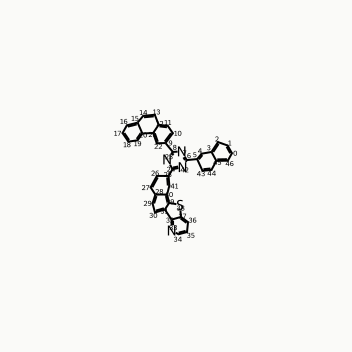 c1ccc2cc(-c3nc(-c4ccc5ccc6ccccc6c5c4)nc(-c4ccc5ccc6c7ncccc7sc6c5c4)n3)ccc2c1